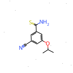 CC(C)Oc1cc(C#N)cc(C(N)=S)c1